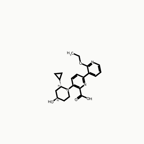 CCOc1ncccc1-c1ccc(N2CC[C@@H](O)C[C@@H]2C2CC2)c(C(=O)O)n1